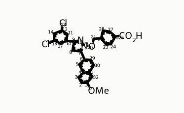 COc1ccc2cc(-c3cc(-c4cc(Cl)cc(Cl)c4)nn3OCc3ccc(C(=O)O)cc3)ccc2c1